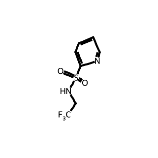 O=S(=O)(NCC(F)(F)F)c1ccccn1